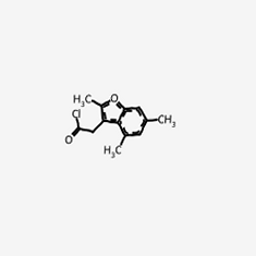 Cc1cc(C)c2c(CC(=O)Cl)c(C)oc2c1